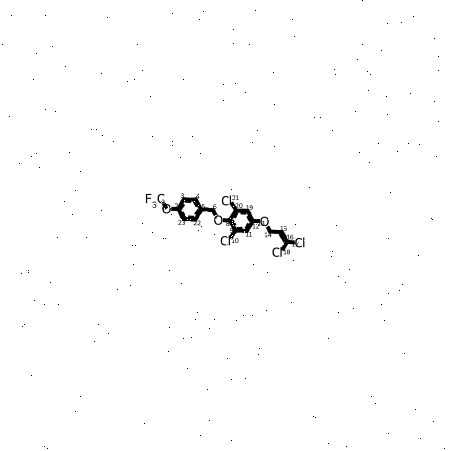 FC(F)(F)Oc1ccc(COc2c(Cl)cc(OCC=C(Cl)Cl)cc2Cl)cc1